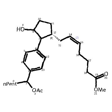 CCCCCC(OC(C)=O)c1ccc(C2C(O)CC[C@@H]2C/C=C\CCCC(=O)OC)cc1